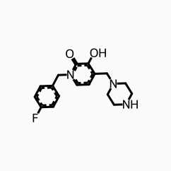 O=c1c(O)c(CN2CCNCC2)ccn1Cc1ccc(F)cc1